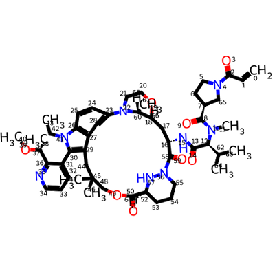 C=CC(=O)N1CC[C@H](C(=O)N(C)[C@H](C(=O)N[C@H]2C[C@@H]3OCCN(c4ccc5c(c4)c(c(-c4cccnc4[C@H](C)OC)n5CC)CC(C)(C)COC(=O)[C@@H]4CCCN(N4)C2=O)[C@@H]3C)C(C)C)C1